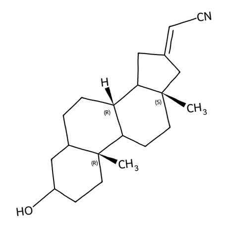 C[C@@]12CCC3[C@H](CCC4CC(O)CC[C@]43C)C1CC(=CC#N)C2